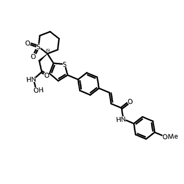 COc1ccc(NC(=O)C=Cc2ccc(-c3ccc([C@@]4(CC(=O)NO)CCCCS4(=O)=O)s3)cc2)cc1